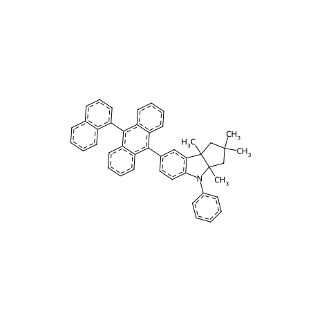 CC1(C)CC2(C)c3cc(-c4c5ccccc5c(-c5cccc6ccccc56)c5ccccc45)ccc3N(c3ccccc3)C2(C)C1